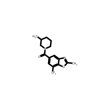 Cc1nc2cc(C(=O)N3CCCC(C)C3)cc(C(F)(F)F)c2o1